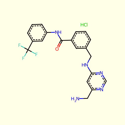 Cl.NCc1cc(NCc2cccc(C(=O)Nc3cccc(C(F)(F)F)c3)c2)ncn1